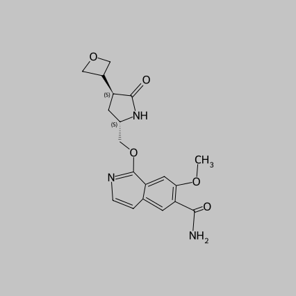 COc1cc2c(OC[C@@H]3C[C@@H](C4COC4)C(=O)N3)nccc2cc1C(N)=O